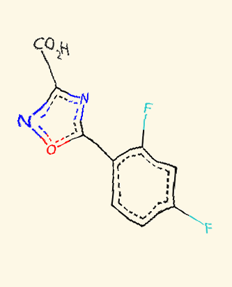 O=C(O)c1noc(-c2ccc(F)cc2F)n1